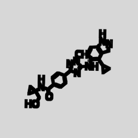 Cn1nc(-c2ccc(C(=O)NC3(CO)CC3)cc2)nc1Nc1ccc2[nH]ncc2c1C1CC1